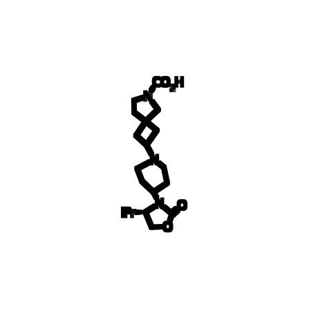 CC(C)[C@@H]1COC(=O)N1C1CCN(C2CC3(CCN(C(=O)O)C3)C2)CC1